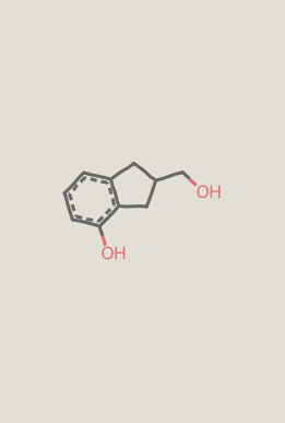 OCC1Cc2cccc(O)c2C1